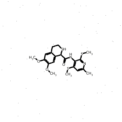 COc1cc2c(cc1OC)C(C(=O)Nc1c(SC)cc(C)nc1SC)[SH]CC2